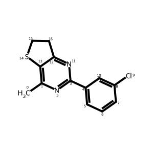 Cc1nc(-c2cccc(Cl)c2)nc2c1SCC2